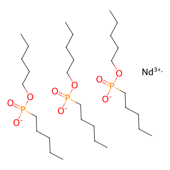 CCCCCOP(=O)([O-])CCCCC.CCCCCOP(=O)([O-])CCCCC.CCCCCOP(=O)([O-])CCCCC.[Nd+3]